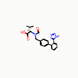 CC(C)[C@@H](C(=O)O)N(C=O)Cc1ccc(-c2ccccc2-c2nnn[nH]2)cc1